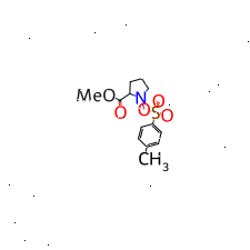 COC(=O)C1CCCN1OS(=O)(=O)c1ccc(C)cc1